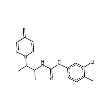 C=C1C=CN(C(C)C(C)NC(=O)Nc2ccc(C)c(Cl)c2)N=C1